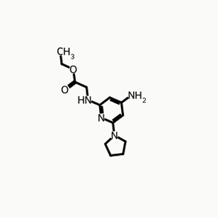 CCOC(=O)CNc1cc(N)cc(N2CCCC2)n1